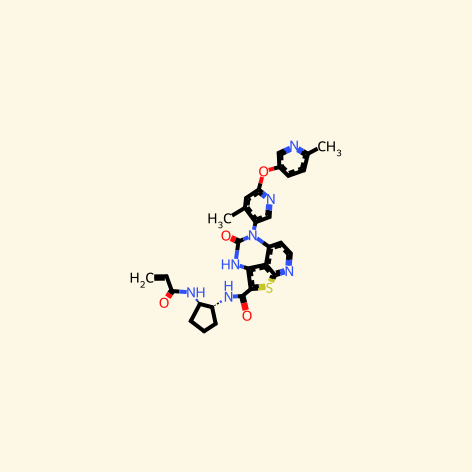 C=CC(=O)N[C@H]1CCC[C@H]1NC(=O)c1sc2nccc3c2c1NC(=O)N3c1cnc(Oc2ccc(C)nc2)cc1C